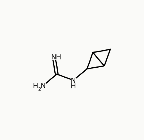 N=C(N)NC1C2CC21